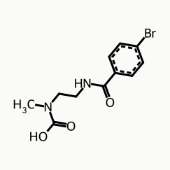 CN(CCNC(=O)c1ccc(Br)cc1)C(=O)O